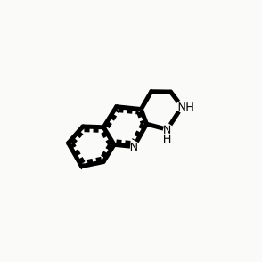 [c]1ccc2cc3c(nc2c1)NNCC3